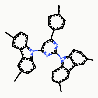 Cc1ccc(-c2cc(-n3c4ccc(C)cc4c4cc(C)ccc43)nc(-n3c4ccc(C)cc4c4cc(C)ccc43)n2)cc1